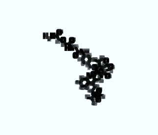 CC[C@@]1(OC(=O)OCc2ccc(NC(=O)CNC(=O)COCC(N)=O)cc2)C(=O)OCC(C)=C1/C=C1/c2nc3ccccc3c(CCN(C(C)C)S(C)(=O)=O)c2CN1C=O